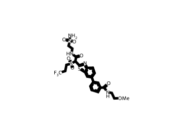 COCCNC(=O)c1cccc(-c2ccc3nc(C(C(=O)NCCS(N)(=O)=O)S(=O)(=O)CCC(F)(F)F)sc3c2)c1